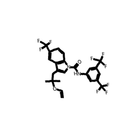 C=COC(C)(C)Cc1cn(C(=O)Nc2cc(C(F)(F)F)cc(C(F)(F)F)c2)c2ccc(C(F)(F)F)cc12